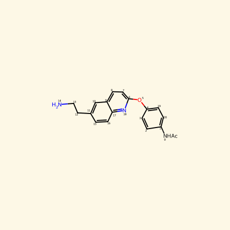 CC(=O)Nc1ccc(Oc2ccc3cc(CCN)ccc3n2)cc1